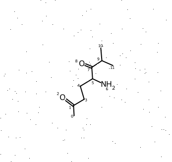 CC(=O)CCC(N)C(=O)C(C)C